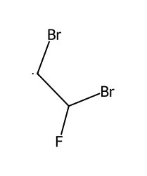 FC(Br)[CH]Br